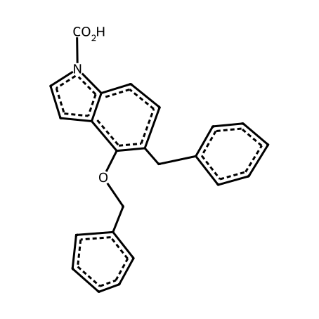 O=C(O)n1ccc2c(OCc3ccccc3)c(Cc3ccccc3)ccc21